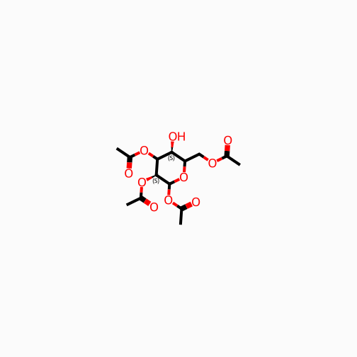 CC(=O)OCC1OC(OC(C)=O)[C@@H](OC(C)=O)C(OC(C)=O)[C@H]1O